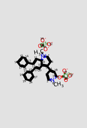 C[n+]1ccc(-c2cc[n+](C)c(C=Cc3ccccc3)c2C=Cc2ccccc2)cc1.[O-][Cl+3]([O-])([O-])[O-].[O-][Cl+3]([O-])([O-])[O-]